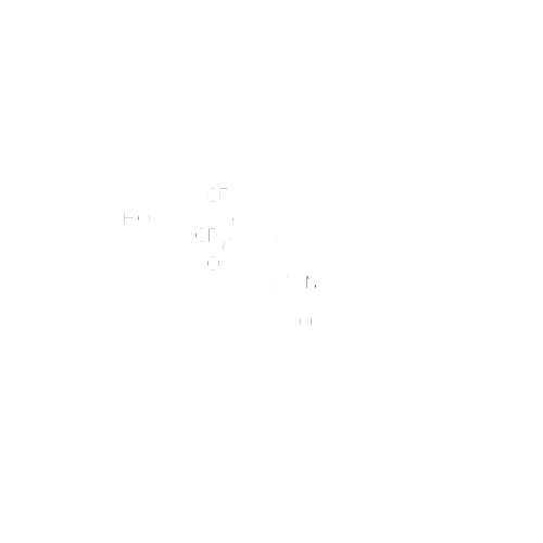 O=C(CC12CCC(C1)C1CN(C(=O)c3ccc4ccccc4c3)C(=O)C12)OC(CS(=O)(=O)O)(C(F)(F)F)C(F)(F)F